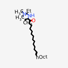 C=CC(NC(CC)N(C)C)C(=O)CCCCCCCCCCCC=CCCCCCCCC